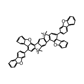 C[Si]1(C)c2cc3c(cc2-c2c1cc(-c1ccc4c(c1)oc1ccccc14)c1c2oc2ccccc21)[Si](C)(C)c1cc(-c2ccc4c(c2)oc2ccccc24)c2c(oc4ccccc42)c1-3